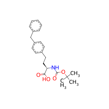 CC(C)(C)OC(=O)N[C@H](CCc1ccc(Cc2ccccc2)cc1)C(=O)O